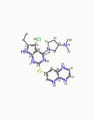 CCc1[nH]c2nc(Sc3cnc4nccnc4c3)nc(N3CCC(N(C)C)C3)c2c1Cl